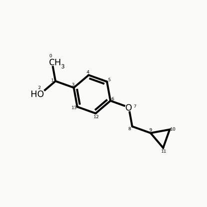 CC(O)c1ccc(OCC2CC2)cc1